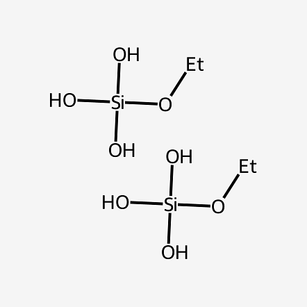 CCO[Si](O)(O)O.CCO[Si](O)(O)O